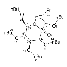 CCCCOC[C@H]1OP(=O)(C(OCC)OCC)C(OCCCC)[C@@H](OCCCC)[C@@H]1OCCCC